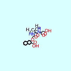 CC(C)[C@H](NC(=O)COc1cc2ccccc2cc1C(=O)O)C(=O)N[C@H](C=O)CC(=O)O